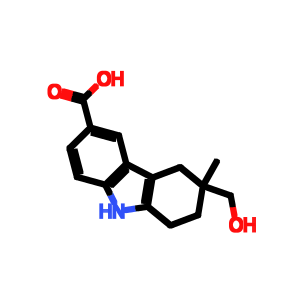 CC1(CO)CCc2[nH]c3ccc(C(=O)O)cc3c2C1